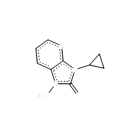 Cn1c(=O)n(C2CC2)c2ncccc21